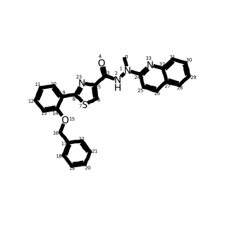 CN(NC(=O)c1csc(-c2ccccc2OCc2ccccc2)n1)c1ccc2ccccc2n1